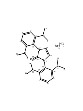 CC(C)c1cccc(C(C)C)c1-n1ccn(-c2c(C(C)C)cccc2C(C)C)[c]1=[Pd].Cl.Cl